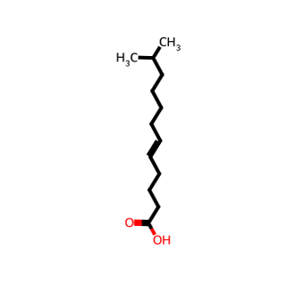 CC(C)CCCCC=CCCCC(=O)O